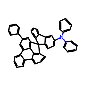 c1ccc(-c2cc3c4c(c2)c2ccccc2c2cccc(c24)C32c3ccccc3-c3cc(N(c4ccccc4)c4ccccc4)ccc32)cc1